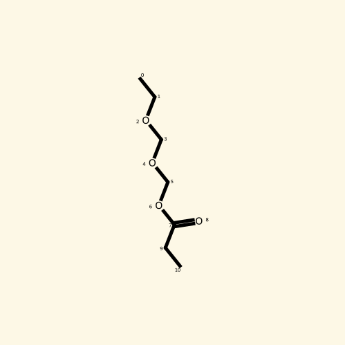 CCOCOCOC(=O)CC